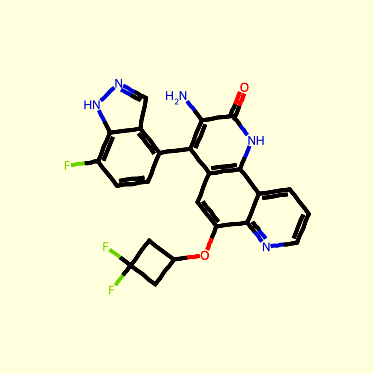 Nc1c(-c2ccc(F)c3[nH]ncc23)c2cc(OC3CC(F)(F)C3)c3ncccc3c2[nH]c1=O